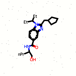 CCCC(CO)NC(=O)c1ccc2c(c1)nc(CC1CCCC1)n2C(CC)CC